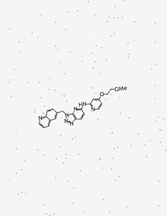 COCCOc1ccnc(Nc2ccc3nnn(Cc4ccc5ncccc5c4)c3n2)c1